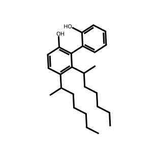 CCCCCC(C)c1ccc(O)c(-c2ccccc2O)c1C(C)CCCCC